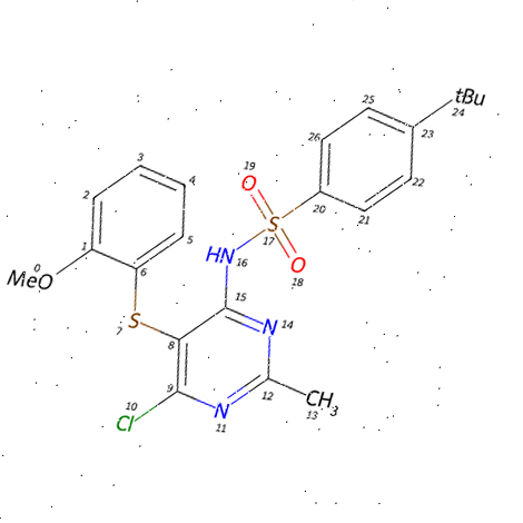 COc1ccccc1Sc1c(Cl)nc(C)nc1NS(=O)(=O)c1ccc(C(C)(C)C)cc1